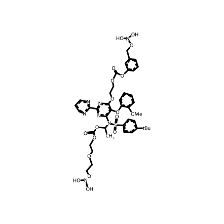 COc1ccccc1Oc1c(OCCOC(=O)Oc2cccc(CON(O)O)c2)nc(-c2ncccn2)nc1N(C(C)OC(=O)OCCOCCON(O)O)S(=O)(=O)c1ccc(C(C)(C)C)cc1